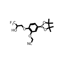 CC1(C)OB(c2ccc(OCC(O)C(F)(F)F)c(OCC#N)c2)OC1(C)C